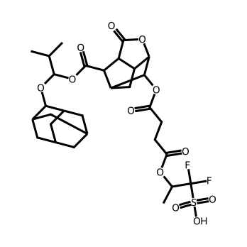 CC(C)C(OC(=O)C1C2CC3C(OC(=O)C31)C2OC(=O)CCC(=O)OC(C)C(F)(F)S(=O)(=O)O)OC1C2CC3CC(C2)CC1C3